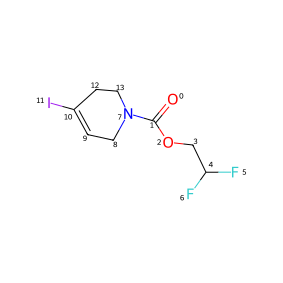 O=C(OCC(F)F)N1CC=C(I)CC1